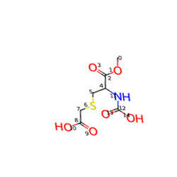 COC(=O)C(CSCC(=O)O)NC(=O)O